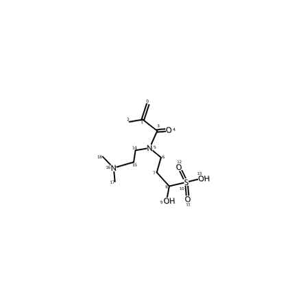 C=C(C)C(=O)N(CCC(O)S(=O)(=O)O)CCN(C)C